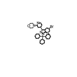 Brc1cnc2c(c1)c(-c1ccnc(N3CCOCC3)c1)nn2C(c1ccccc1)(c1ccccc1)c1ccccc1